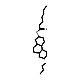 CCCCCCC(=O)O[C@H]1CCC2C(CCC3C[C@@H](CCCC)CCC32)C1